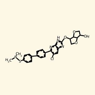 CN(C)Sc1ccc(-c2ccc(-c3nc4[nH]c(OC5COC6C(O)COC56)nc4cc3Cl)cc2)cc1